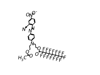 CC(=O)OCCN(CCOC(=O)C(F)(F)C(F)(F)C(F)(F)C(F)(F)C(F)(F)C(F)(F)C(F)(F)F)c1ccc(/N=N/c2ccc([N+](=O)[O-])cc2C#N)cc1